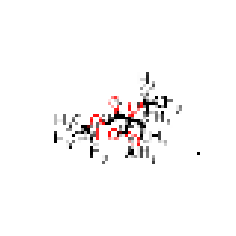 CCC(OC(C)(C)C)(C(=O)O)C(=O)COC(C)(C)C.[AlH3]